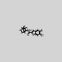 CC1(C)C(NC(=O)c2cc3cc(F)c(Cl)cc3s2)C2CCN1CC2